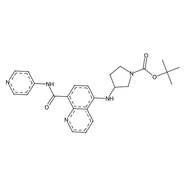 CC(C)(C)OC(=O)N1CCC(Nc2ccc(C(=O)Nc3ccncc3)c3ncccc23)C1